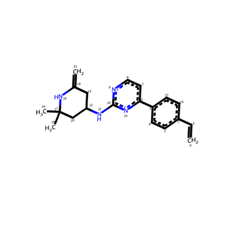 C=Cc1ccc(-c2ccnc(NC3CC(=C)NC(C)(C)C3)n2)cc1